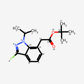 CC(C)n1nc(F)c2cccc(CC(=O)OC(C)(C)C)c21